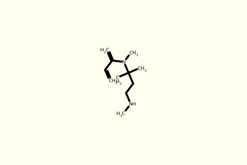 C=CC(=C)N(C)C(C)(C)CCNC